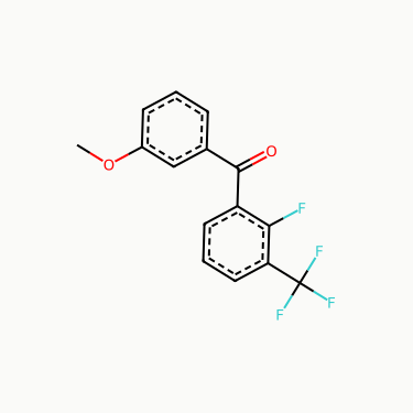 COc1cccc(C(=O)c2cccc(C(F)(F)F)c2F)c1